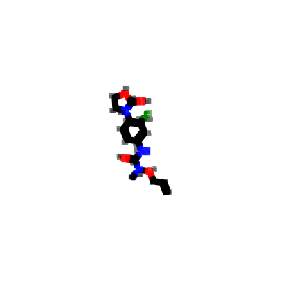 C=CCON(C)C(=O)Nc1ccc(N2CCOC2=O)c(Cl)c1